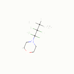 COC(C(F)(F)F)(C(F)(F)F)C(F)(F)C(F)(F)N1CCOCC1